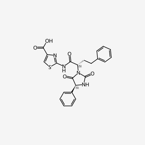 O=C(O)c1csc(NC(=O)[C@H](CCc2ccccc2)N2C(=O)N[C@@H](c3ccccc3)C2=O)n1